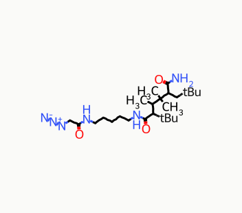 CC(C(C(=O)NCCCCCNC(=O)CN=[N+]=[N-])C(C)(C)C)C(C)(C)C(CC(C)(C)C)C(N)=O